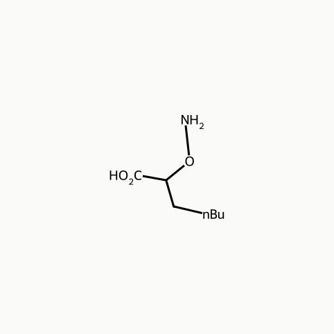 CCCCCC(ON)C(=O)O